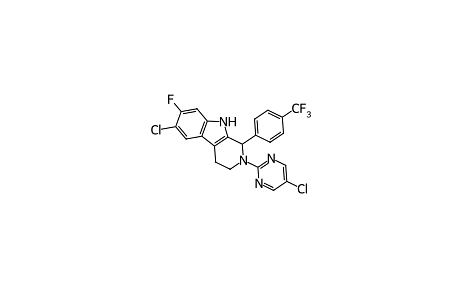 Fc1cc2[nH]c3c(c2cc1Cl)CCN(c1ncc(Cl)cn1)C3c1ccc(C(F)(F)F)cc1